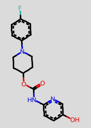 O=C(Nc1ccc(O)cn1)OC1CCN(c2ccc(F)cc2)CC1